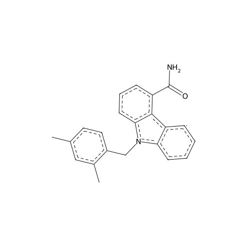 Cc1ccc(Cn2c3ccc[c]c3c3c(C(N)=O)cccc32)c(C)c1